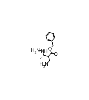 C[C@H](NN)C(CN)C(=O)OCc1ccccc1